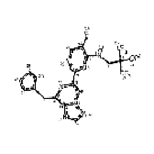 OC(CNc1nc(-c2cn3ncnc3c(Cc3ccsc3)n2)ncc1F)(C(F)(F)F)C(F)(F)F